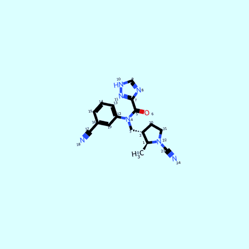 C[C@H]1[C@H](CN(C(=O)c2nc[nH]n2)c2cccc(C#N)c2)CCN1C#N